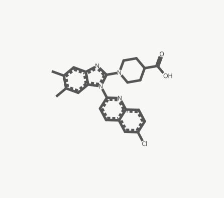 Cc1cc2nc(N3CCC(C(=O)O)CC3)n(-c3ccc4cc(Cl)ccc4n3)c2cc1C